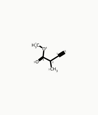 [C]#CC(C)C(=O)OC